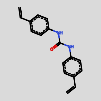 C=Cc1ccc(NC(=O)Nc2ccc(C=C)cc2)cc1